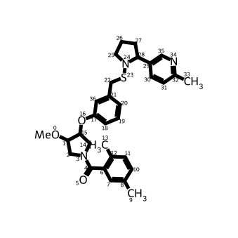 COC1CN(C(=O)c2cc(C)ccc2C)CC1Oc1cccc(CSN2CCCC2c2ccc(C)nc2)c1